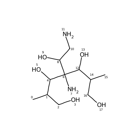 CC(CO)C(O)C(N)(C(O)CN)C(O)C(C)CO